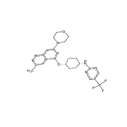 Cc1cnc2cc(N3CCOCC3)nc(O[C@H]3CC[C@@H](Nc4ncc(C(F)(F)F)cn4)CC3)c2c1